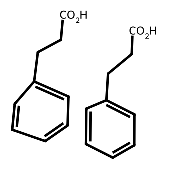 O=C(O)CCc1ccccc1.O=C(O)CCc1ccccc1